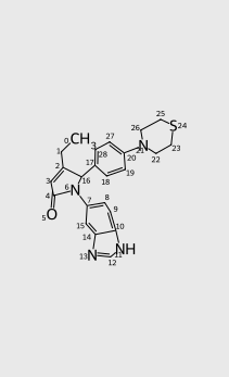 CCC1=CC(=O)N(c2ccc3[nH]cnc3c2)C1c1ccc(N2CCSCC2)cc1